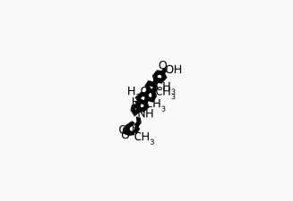 CC1CN(CCN[C@]23CCC[C@@H]2C2CCC4C(C)(CCC5C(C)(C)C(C6=CCC(C(=O)O)CC6)=CCC54C)C2CC3)CCS(=O)(=O)C1